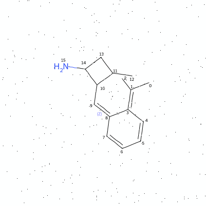 CC(C)=c1cccc/c1=C/C1C(C)CC1N